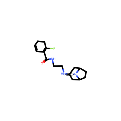 O=C(NCCNC1CC2CCC(C1)N2C(=O)O)C1=C(F)CCC=C1